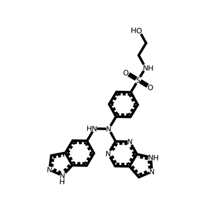 O=S(=O)(NCCO)c1ccc(N(Nc2ccc3[nH]ncc3c2)c2ncc3cn[nH]c3n2)cc1